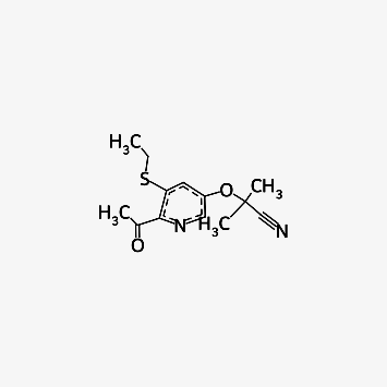 CCSc1cc(OC(C)(C)C#N)cnc1C(C)=O